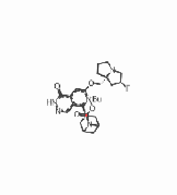 CC(C)(C)OC(=O)N1C2CC1CN(c1nc(OC[C@]34CCCN3C[C@@H](F)C4)cc3c(=O)[nH]ncc13)C2